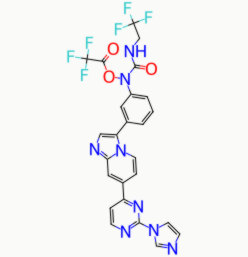 O=C(NCC(F)(F)F)N(OC(=O)C(F)(F)F)c1cccc(-c2cnc3cc(-c4ccnc(-n5ccnc5)n4)ccn23)c1